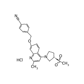 Cc1cc(N2CC[C@@H](S(C)(=O)=O)C2)c2ccc(OCc3ccc(C#N)cc3)cc2n1.Cl